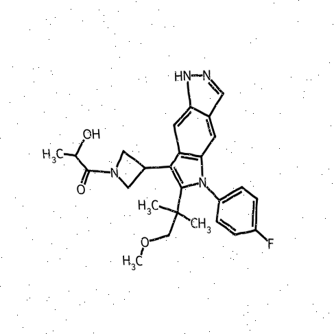 COCC(C)(C)c1c(C2CN(C(=O)C(C)O)C2)c2cc3[nH]ncc3cc2n1-c1ccc(F)cc1